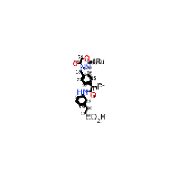 CC(C)C(C(=O)Nc1cccc(CCC(=O)O)c1)c1ccc(CN2N=C(C(C)(C)C)OCC2=O)cc1